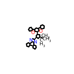 CC(C)(C)c1cc(-c2cnc3c4ccccc4c4ccccc4c3n2)cc(-c2c3oc4ccccc4c3cc3c2oc2ccccc23)c1